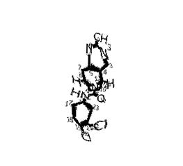 Cc1ncc2c(n1)C[C@H]1CC[C@@H]2N1C(=O)Nc1ccc(Cl)c(Cl)c1